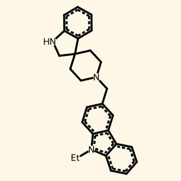 CCn1c2ccccc2c2cc(CN3CCC4(CC3)CNc3ccccc34)ccc21